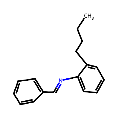 CCCCc1ccccc1/N=C/c1ccccc1